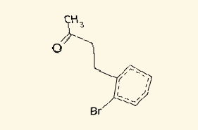 CC(=O)CCc1ccccc1Br